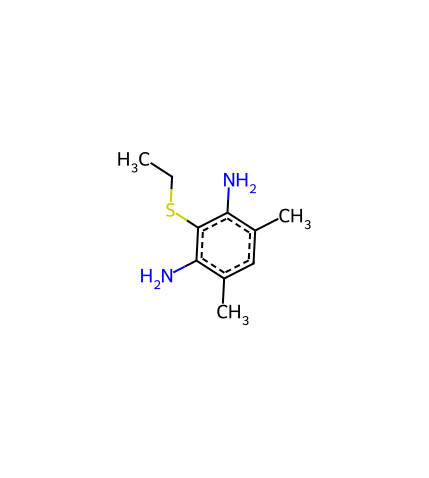 CCSc1c(N)c(C)cc(C)c1N